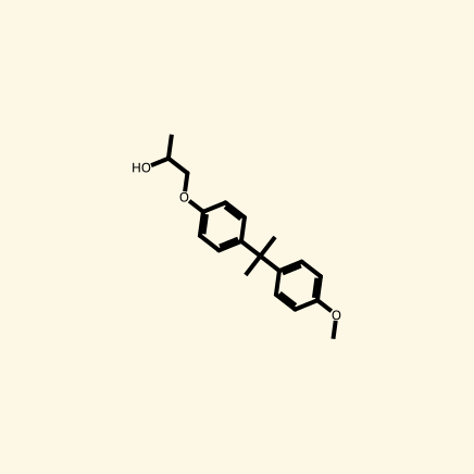 COc1ccc(C(C)(C)c2ccc(OCC(C)O)cc2)cc1